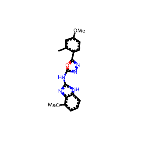 COc1ccc(-c2nnc(Nc3nc4c(OC)cccc4[nH]3)o2)c(C)c1